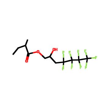 CCC(C)C(=O)OCC(O)CC(F)(F)C(F)(F)C(F)(F)C(F)(F)F